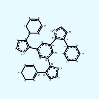 C1=CCC(c2ccsc2-c2cc(-c3sccc3C3=CCCC=C3)cc(-c3sccc3-c3ccccc3)c2)C=C1